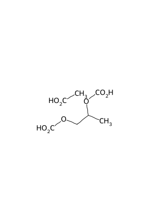 CC(=O)O.CC(COC(=O)O)OC(=O)O